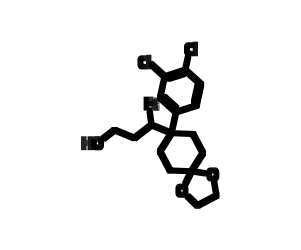 CCC(CCO)C1(c2ccc(Cl)c(Cl)c2)CCC2(CC1)OCCO2